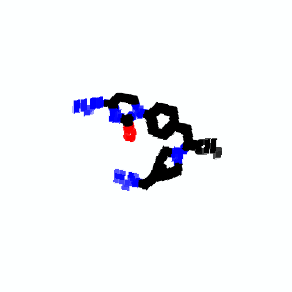 CC(Cc1ccc(-n2ccc(N)nc2=O)cc1)N1CC2C(CN)C2C1